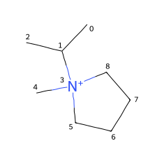 CC(C)[N+]1(C)CCCC1